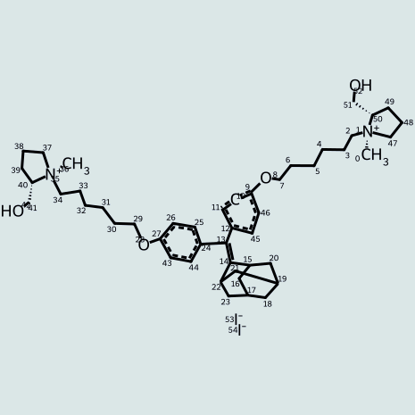 C[N@@+]1(CCCCCCOc2ccc(C(=C3C4CC5CC(C4)CC3C5)c3ccc(OCCCCCC[N@+]4(C)CCC[C@H]4CO)cc3)cc2)CCC[C@H]1CO.[I-].[I-]